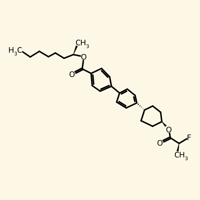 CCCCCC[C@@H](C)OC(=O)c1ccc(-c2ccc([C@H]3CC[C@H](OC(=O)[C@H](C)F)CC3)cc2)cc1